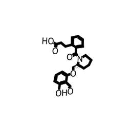 O=Cc1c(O)cccc1OC[C@@H]1CCCCN1C(=O)c1ccccc1CCC(=O)O